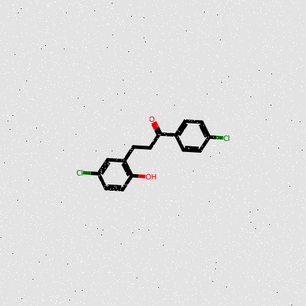 O=C(CCc1cc(Cl)ccc1O)c1ccc(Cl)cc1